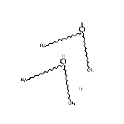 CCCCCCCCCCCCCCCC[N+]1(CCCCCCCCCCCCCCCC)CCNCC1.CCCCCCCCCCCCCCCC[N+]1(CCCCCCCCCCCCCCCC)CCNCC1.[I-].[I-]